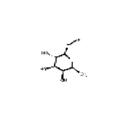 CCCO[C@H]1O[C@@H](C)[C@@H](O)[C@@H](O)[C@@H]1O